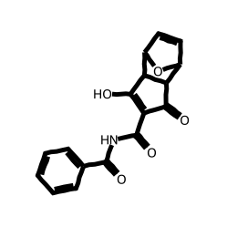 O=C(NC(=O)c1ccccc1)C1=C(O)C2C3C=CC(O3)C2C1=O